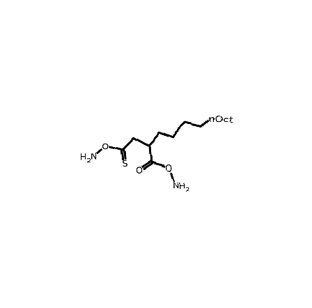 CCCCCCCCCCCCC(CC(=S)ON)C(=O)ON